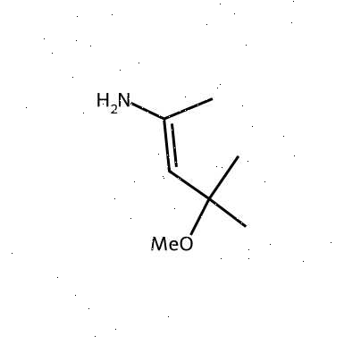 COC(C)(C)/C=C(\C)N